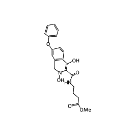 COC(=O)CCCNC(=O)C1=C(O)c2ccc(Oc3ccccc3)cc2CN1O